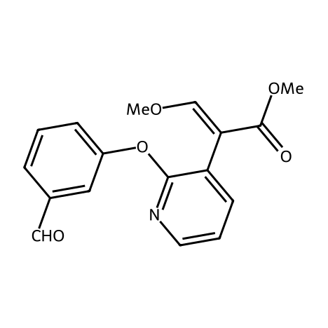 CO/C=C(/C(=O)OC)c1cccnc1Oc1cccc(C=O)c1